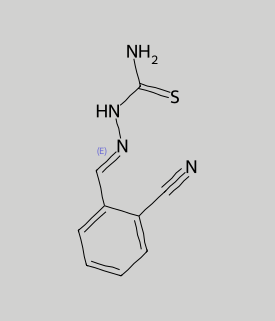 N#Cc1ccccc1/C=N/NC(N)=S